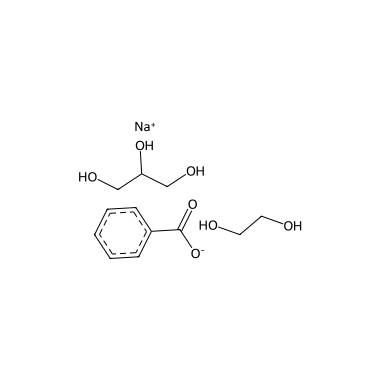 O=C([O-])c1ccccc1.OCC(O)CO.OCCO.[Na+]